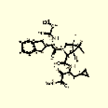 COC(=O)C(=O)C(CC1CC1)NC(=O)C1[C@@H]2[C@H](CN1C(=O)[C@@H](NC(=O)OC(C)(C)C)C1Cc3ccccc3C1)C2(C)C